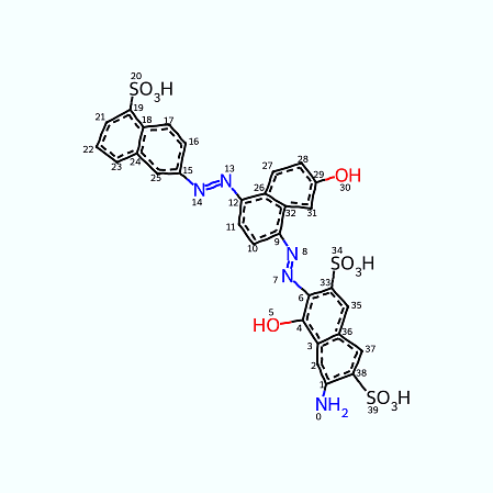 Nc1cc2c(O)c(N=Nc3ccc(N=Nc4ccc5c(S(=O)(=O)O)cccc5c4)c4ccc(O)cc34)c(S(=O)(=O)O)cc2cc1S(=O)(=O)O